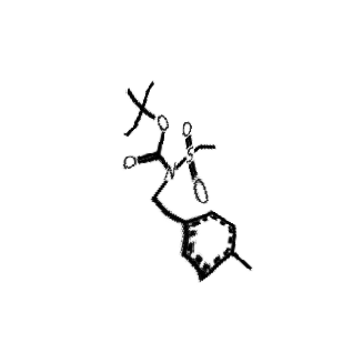 Cc1ccc(CN(C(=O)OC(C)(C)C)S(C)(=O)=O)cc1